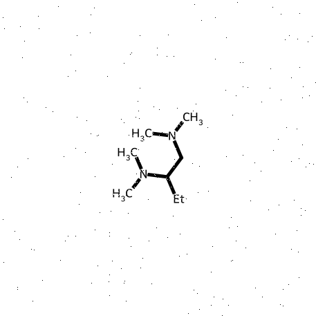 C[CH]C(CN(C)C)N(C)C